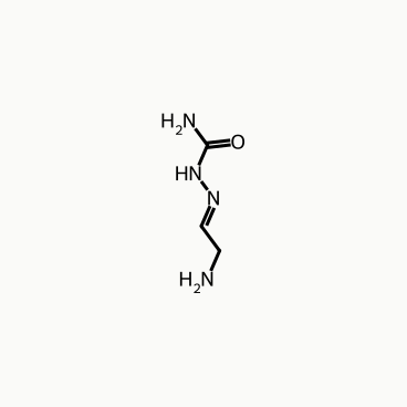 NC/C=N/NC(N)=O